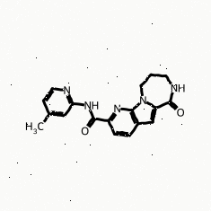 Cc1ccnc(NC(=O)c2ccc3cc4n(c3n2)CCCNC4=O)c1